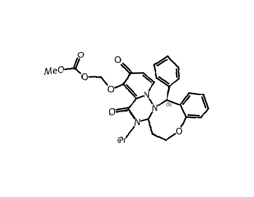 COC(=O)OCOc1c2n(ccc1=O)N1C(CCOc3ccccc3[C@@H]1c1ccccc1)N(C(C)C)C2=O